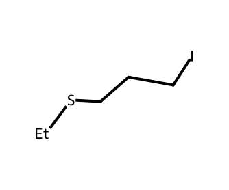 CCSCCCI